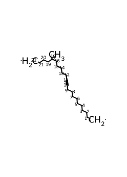 [CH2]CCCCCCCCCC#CCCCCCC(C)CCC[CH2]